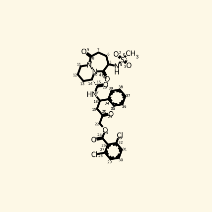 CS(=O)(=O)NC1CCC(=O)N2CCC[C@@H](C(=O)NC(CC(=O)COC(=O)c3c(Cl)cccc3Cl)c3ccccc3)N2C1=O